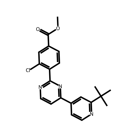 COC(=O)c1ccc(-c2nccc(-c3ccnc(C(C)(C)C)c3)n2)c(Cl)c1